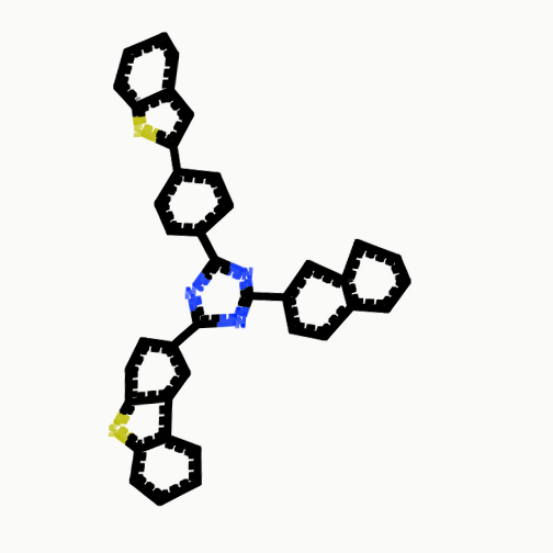 c1ccc2cc(-c3nc(-c4ccc(-c5cc6ccccc6s5)cc4)nc(-c4ccc5sc6ccccc6c5c4)n3)ccc2c1